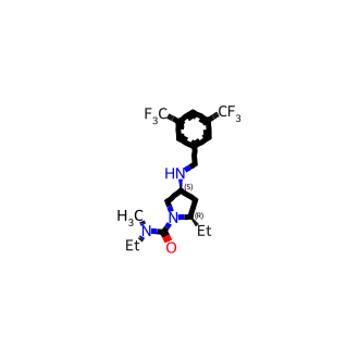 CC[C@@H]1C[C@H](NCc2cc(C(F)(F)F)cc(C(F)(F)F)c2)CN1C(=O)N(C)CC